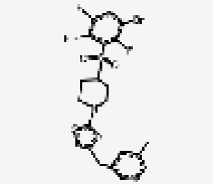 Cc1cccc(Cc2csc(N3CCC(S(=O)(=O)c4c(F)c(Br)cc(F)c4Br)CC3)n2)c1